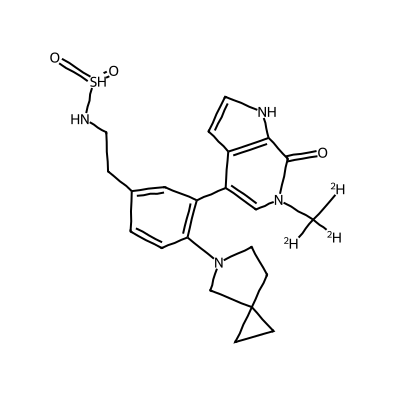 [2H]C([2H])([2H])n1cc(-c2cc(CCN[SH](=O)=O)ccc2N2CCC3(CC3)C2)c2cc[nH]c2c1=O